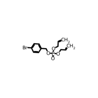 C=CCOP(=O)(OCC=C)OCc1ccc(Br)cc1